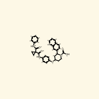 O=C(O)N1CCC(Oc2ccc(NC(=O)C3(C(=O)Nc4ccccc4)CC3)cc2)CC1c1ccc2cccnc2c1